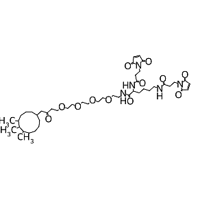 CC1CCCCC(CC(=O)CCOCCOCCOCCOCCNC(=O)C(CCCCNC(=O)CCN2C(=O)C=CC2=O)NC(=O)CCN2C(=O)C=CC2=O)CCCC(C)C1C